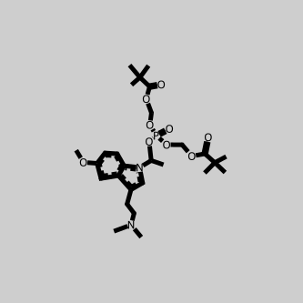 COc1ccc2c(c1)c(CCN(C)C)cn2C(C)OP(=O)(OCOC(=O)C(C)(C)C)OCOC(=O)C(C)(C)C